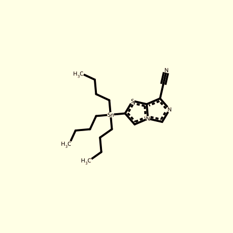 CCC[CH2][Sn]([CH2]CCC)([CH2]CCC)[c]1cn2cnc(C#N)c2s1